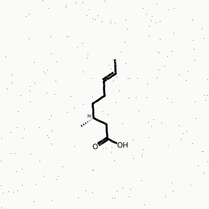 CC=CCC[C@@H](C)CC(=O)O